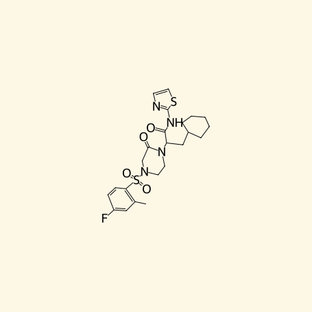 Cc1cc(F)ccc1S(=O)(=O)N1CCN(C(CC2CCCCC2)C(=O)Nc2nccs2)C(=O)C1